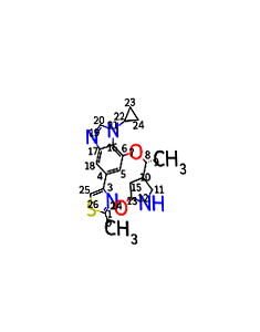 Cc1nc(-c2cc(O[C@H](C)C3CNC(=O)C3)c3c(c2)ncn3C2CC2)cs1